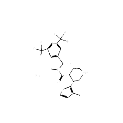 Cc1ccsc1[C@@H]1CNCC[C@H]1C(=O)N(C)[C@@H](C)c1cc(C(F)(F)F)cc(C(F)(F)F)c1.Cl